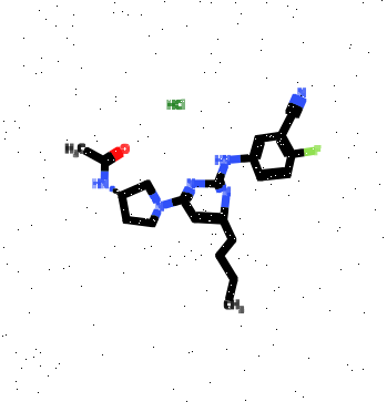 CCCCc1cc(N2CC[C@H](NC(C)=O)C2)nc(Nc2ccc(F)c(C#N)c2)n1.Cl